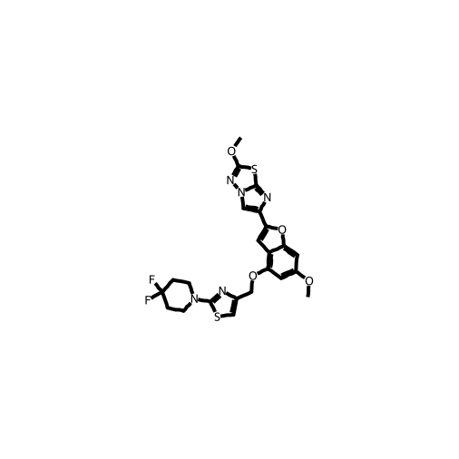 COc1cc(OCc2csc(N3CCC(F)(F)CC3)n2)c2cc(-c3cn4nc(OC)sc4n3)oc2c1